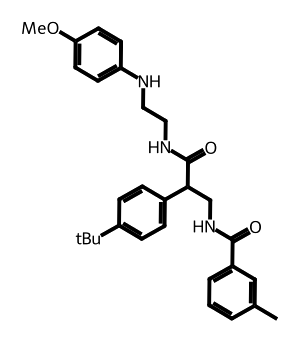 COc1ccc(NCCNC(=O)C(CNC(=O)c2cccc(C)c2)c2ccc(C(C)(C)C)cc2)cc1